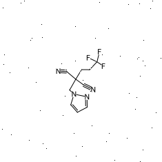 N#CC(C#N)(CCC(F)(F)F)Cn1cccn1